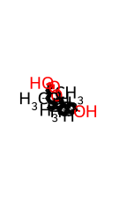 CO[C@H]1C[C@H]2[C@@H](CC[C@@H]3C[C@H](O)CC[C@@]32C)[C@@H]2CC[C@H]([C@H](C)CCC(=O)O)[C@@]12C